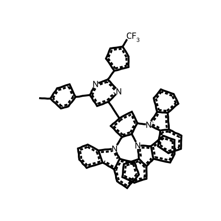 Cc1ccc(-c2cc(-c3cc(-n4c5ccccc5c5ccccc54)c(-n4c5ccccc5c5ccccc54)c(-n4c5ccccc5c5ccccc54)c3)nc(-c3ccc(C(F)(F)F)cc3)n2)cc1